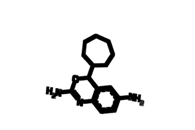 NC1=Nc2ccc(N)cc2C(C2CCCCCC2)O1